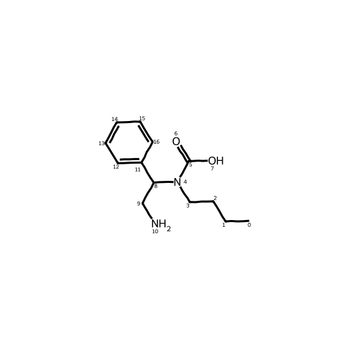 CCCCN(C(=O)O)C(CN)c1ccccc1